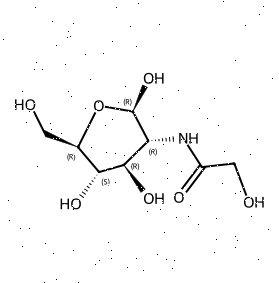 O=C(CO)N[C@@H]1[C@@H](O)[C@H](O)[C@@H](CO)O[C@H]1O